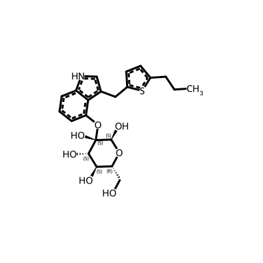 CCCc1ccc(Cc2c[nH]c3cccc(O[C@]4(O)[C@@H](O)O[C@H](CO)[C@@H](O)[C@@H]4O)c23)s1